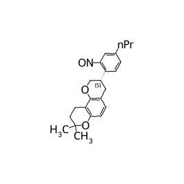 CCCc1ccc([C@H]2COc3c(ccc4c3CCC(C)(C)O4)C2)c(N=O)c1